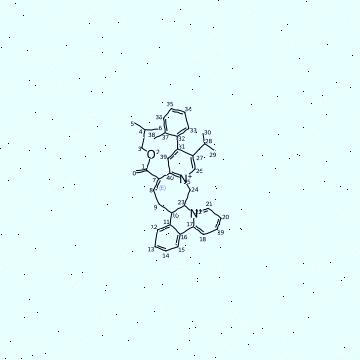 C=C(OCC(C)C)/C1=C/CC2c3ccccc3-c3cccc[n+]3C2C[n+]2cc(C(C)C)c(-c3ccccc3C)cc21